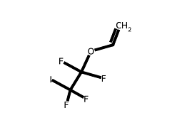 C=COC(F)(F)C(F)(F)I